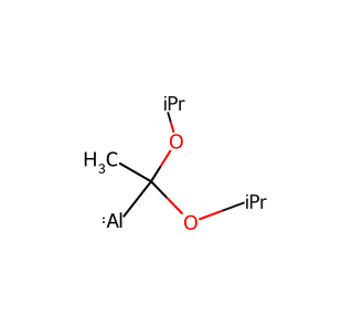 CC(C)O[C](C)([Al])OC(C)C